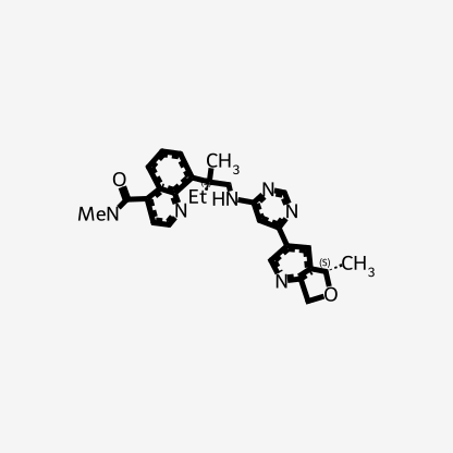 CC[C@](C)(CNc1cc(-c2cnc3c(c2)[C@H](C)OC3)ncn1)c1cccc2c(C(=O)NC)ccnc12